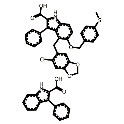 CSc1ccc(COc2ccc3[nH]c(C(=O)O)c(-c4ccccc4)c3c2Cc2cc3c(cc2Cl)OCO3)cc1.O=C(O)c1[nH]c2ccccc2c1-c1ccccc1